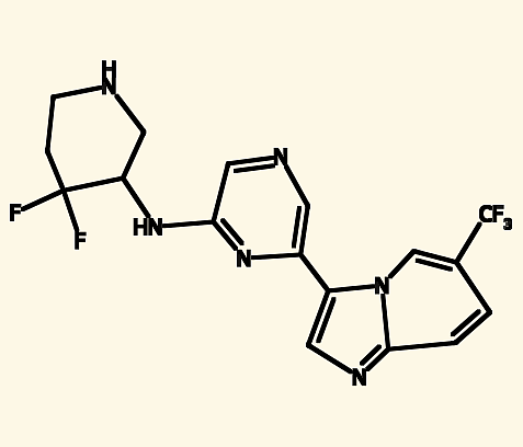 FC(F)(F)c1ccc2ncc(-c3cncc(NC4CNCCC4(F)F)n3)n2c1